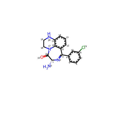 N[C@H]1N=C(c2cccc(Cl)c2)c2cccc3c2N(CCN3)C1=O